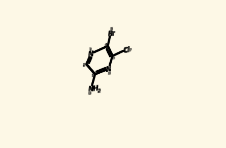 Nc1cnc(Br)c(Cl)n1